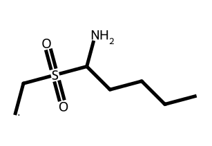 [CH2]CS(=O)(=O)C(N)CCCC